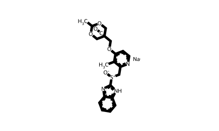 Cc1c(OCC23COC(C)(OC2)OC3)ccnc1C[S+]([O-])c1nc2ccccc2[nH]1.[Na]